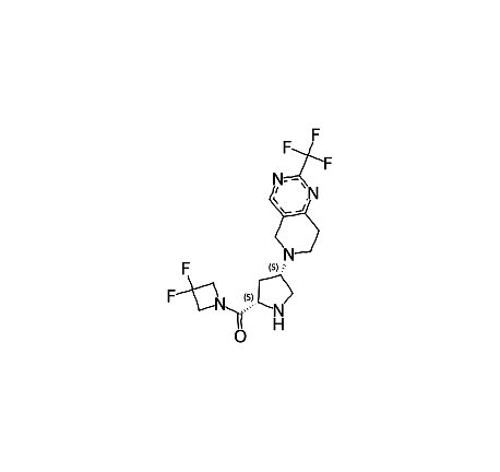 O=C([C@@H]1C[C@H](N2CCc3nc(C(F)(F)F)ncc3C2)CN1)N1CC(F)(F)C1